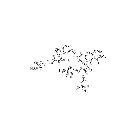 COC(=O)C(C(=O)OC)C(CS(=O)(=O)N(COCC[Si](C)(C)C)COCC[Si](C)(C)C)c1ccc(COc2cccc(-c3c(C)cc(OCCCS(C)(=O)=O)cc3C)c2)cc1